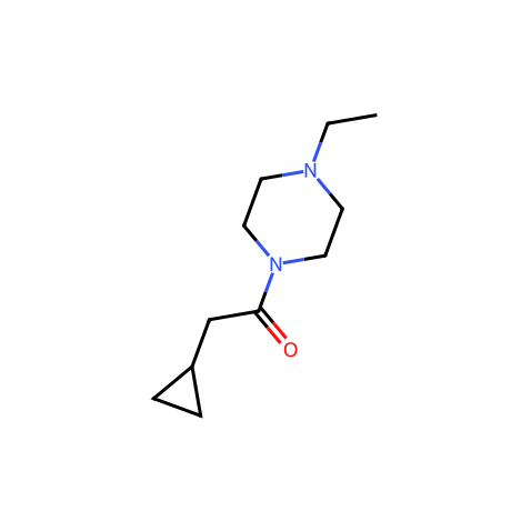 CCN1CCN(C(=O)CC2CC2)CC1